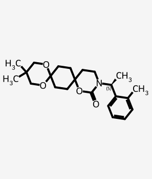 Cc1ccccc1[C@H](C)N1CCC2(CCC3(CC2)OCC(C)(C)CO3)OC1=O